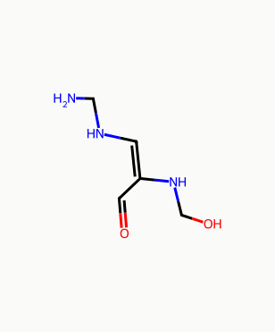 NCN/C=C(\C=O)NCO